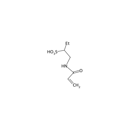 C=CC(=O)NCC(CC)S(=O)(=O)O